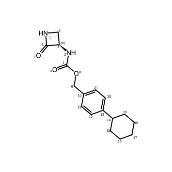 O=C(N[C@@H]1CNC1=O)OCc1ccc(C2CCCCC2)cc1